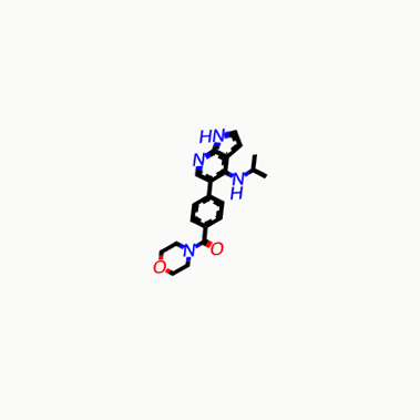 CC(C)Nc1c(-c2ccc(C(=O)N3CCOCC3)cc2)cnc2[nH]ccc12